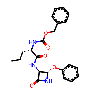 CCC[C@H](NC(=O)OCc1ccccc1)C(=O)N[C@@H]1C(=O)N[C@H]1Oc1ccccc1